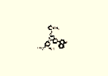 CN1CCC[C@@H]1COc1nc2c(c(N3CCN(C(=O)O)[C@@H](CC#N)C3)n1)CCN(c1ccc(F)c3ccccc13)C2